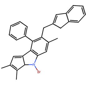 CC1=C(C)C2C(=C1)c1c(cc(C)c(CC3=Cc4ccccc4C3)c1-c1ccccc1)N2Br